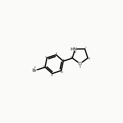 Brc1ccc(C2NCCO2)cc1